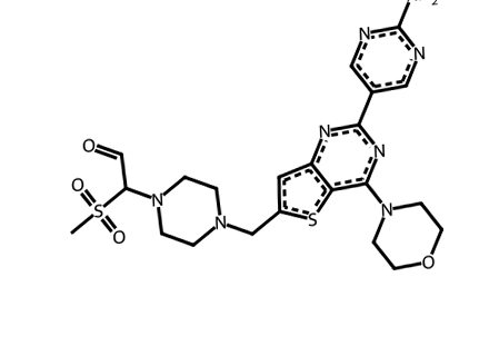 CS(=O)(=O)C(C=O)N1CCN(Cc2cc3nc(-c4cnc(N)nc4)nc(N4CCOCC4)c3s2)CC1